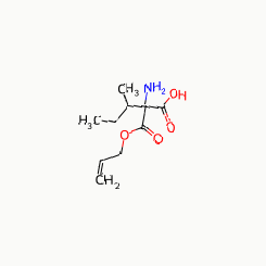 C=CCOC(=O)C(N)(C(=O)O)C(C)CC